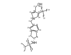 CC(C)S(=O)(=O)N[C@H]1Cc2ccc(Cn3cc(CO)c(C(F)(F)F)c3)cc2C1